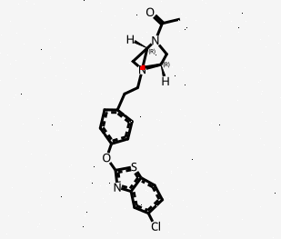 CC(=O)N1C[C@H]2C[C@@H]1CN2CCc1ccc(Oc2nc3cc(Cl)ccc3s2)cc1